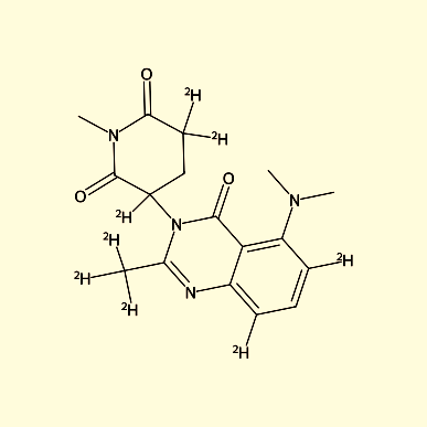 [2H]c1cc([2H])c2nc(C([2H])([2H])[2H])n(C3([2H])CC([2H])([2H])C(=O)N(C)C3=O)c(=O)c2c1N(C)C